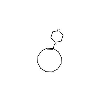 C1=C(N2CCOCC2)CCCCCCCCCC1